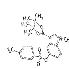 Cc1ccc(S(=O)(=O)Oc2ccc3c(c2)c(B2OC(C)(C)C(C)(C)O2)cn3C)cc1